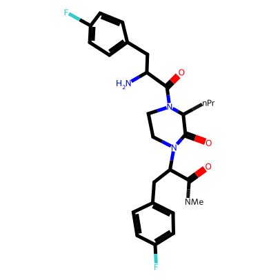 CCCC1C(=O)N(C(Cc2ccc(F)cc2)C(=O)NC)CCN1C(=O)C(N)Cc1ccc(F)cc1